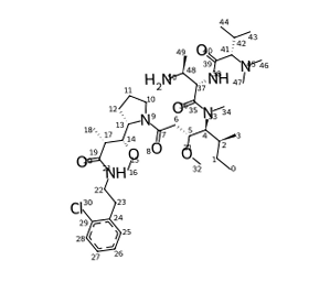 CC[C@H](C)[C@@H]([C@@H](CC(=O)N1CCC[C@H]1[C@H](OC)[C@@H](C)C(=O)NCCc1ccccc1Cl)OC)N(C)C(=O)[C@@H](NC(=O)[C@H](C(C)C)N(C)C)[C@H](C)N